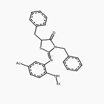 CCNc1ccc(C(C)=O)cc1/N=C1\SC(Cc2ccccc2)C(=O)N1Cc1ccccc1